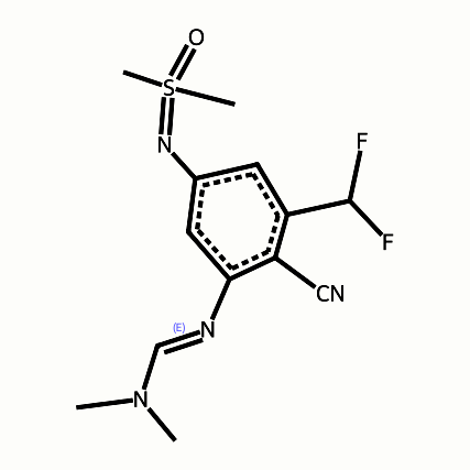 CN(C)/C=N/c1cc(N=S(C)(C)=O)cc(C(F)F)c1C#N